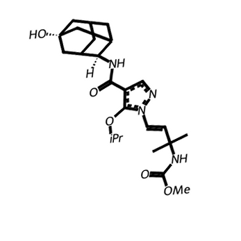 COC(=O)NC(C)(C)/C=C/n1ncc(C(=O)N[C@H]2C3CC4CC2C[C@](O)(C4)C3)c1OC(C)C